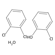 Clc1ccccc1Cl.O.Oc1ccccc1Cl